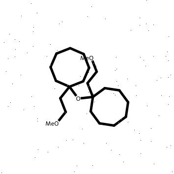 COCCC1(OC2(CCOC)CCCCCCC2)CCCCCCC1